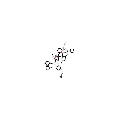 CCOC(=O)[C@]1(c2ccccc2)N=C(c2ccc(OC)cc2)N(Cc2ccc(C(C)OC(=O)[C@]3(c4ccccc4)N=C(c4ccc(OC)cc4)N(Cc4ccccc4)[C@@H]3c3ccc(NS(=O)(=O)C4CC4)cc3)cc2)[C@@H]1c1ccc(NS(=O)(=O)N(C)C)cc1